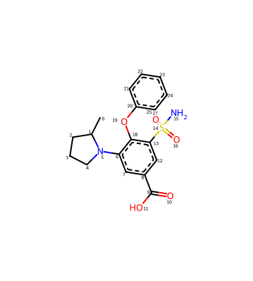 CC1CCCN1c1cc(C(=O)O)cc(S(N)(=O)=O)c1Oc1ccccc1